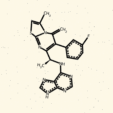 C=C1C(c2cccc(F)c2)=C([C@H](C)Nc2ncnc3[nH]cnc23)N=C2SC=C(C)N12